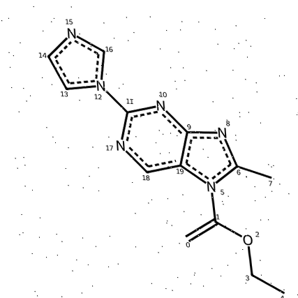 C=C(OCC)n1c(C)nc2nc(-n3ccnc3)ncc21